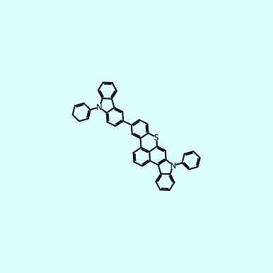 C1=CC(n2c3ccccc3c3cc(-c4ccc5c(c4)-c4cccc6c4c(cc4c6c6ccccc6n4-c4ccccc4)S5)ccc32)=CCC1